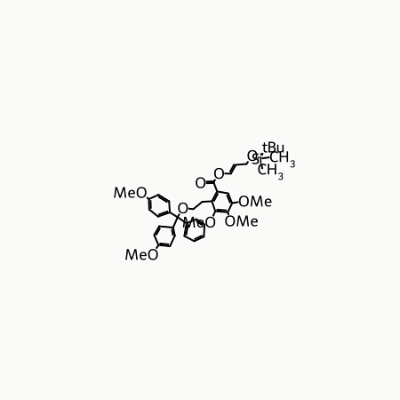 COc1ccc(C(OCCc2c(C(=O)OC=CCO[Si](C)(C)C(C)(C)C)cc(OC)c(OC)c2OC)(c2ccccc2)c2ccc(OC)cc2)cc1